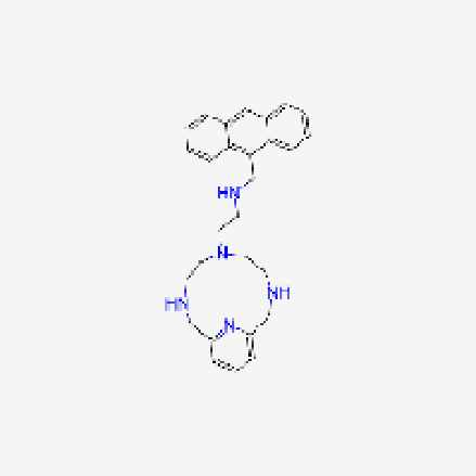 c1cc2nc(c1)CNCCN(CCNCc1c3ccccc3cc3ccccc13)CCNC2